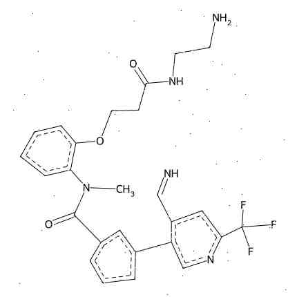 CN(C(=O)c1cccc(-c2cnc(C(F)(F)F)cc2C=N)c1)c1ccccc1OCCC(=O)NCCN